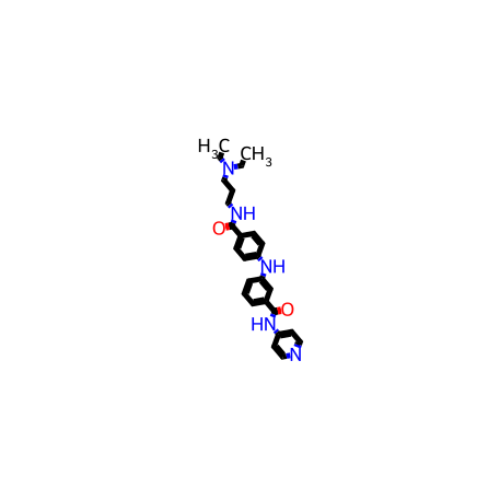 CCN(CC)CCCNC(=O)c1ccc(Nc2cccc(C(=O)Nc3ccncc3)c2)cc1